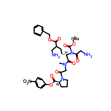 CCCCOC(=O)N(C(=O)CN)[C@@H](CCC(CN)C(=O)OCc1ccccc1)C(=O)N(C)CC(=O)N1CCC[C@H]1C(=O)Oc1ccc([N+](=O)[O-])cc1